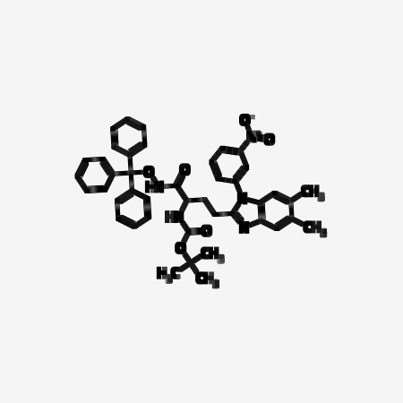 Cc1cc2nc(CCC(NC(=O)OC(C)(C)C)C(=O)NOC(c3ccccc3)(c3ccccc3)c3ccccc3)n(-c3cccc([N+](=O)[O-])c3)c2cc1C